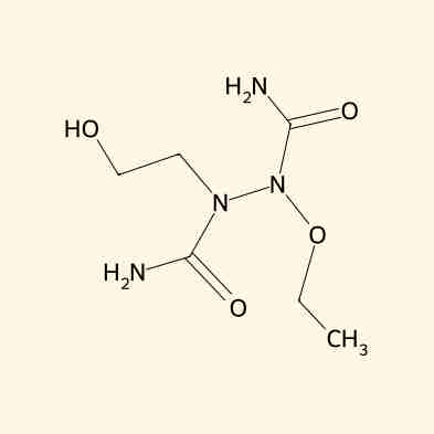 CCON(C(N)=O)N(CCO)C(N)=O